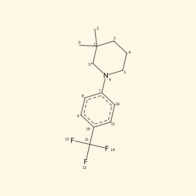 CC1(C)CCCN(c2ccc(C(F)(F)F)cc2)C1